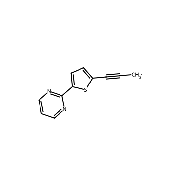 [CH2]C#Cc1ccc(-c2ncccn2)s1